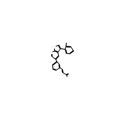 Cc1ccccc1-c1c[nH]c2ncc(-c3cccc(C=CC(N)=O)c3)cc12